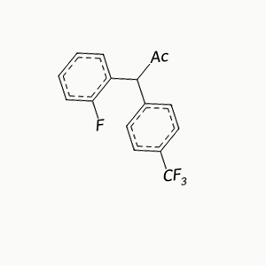 CC(=O)C(c1ccc(C(F)(F)F)cc1)c1ccccc1F